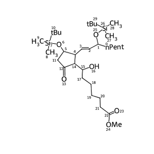 CCCCCC(C=CC1C(O[Si](C)(C)C(C)(C)C)CC(=O)C1C(O)CCCCCC(=O)OC)O[Si](C)(C)C(C)(C)C